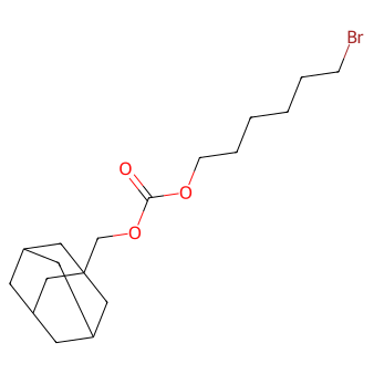 O=C(OCCCCCCBr)OCC12CC3CC(CC(C3)C1)C2